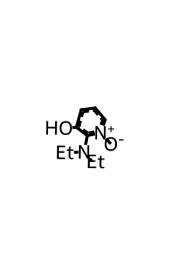 CCN(CC)c1c(O)ccc[n+]1[O-]